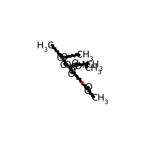 CCCCCCCCOC(CCC(=O)OC[C@H](COC(=O)CCCCCCCCCCC(=O)OCCCCC)COC(=O)OCCCN(CC)CC)OCCCCCCCC